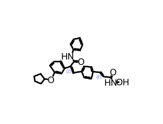 O=C(/C=C/c1ccc(/C=C(\C(=O)Nc2ccccc2)c2cccc(OC3CCCC3)c2)cc1)NO